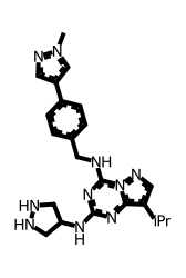 CC(C)c1cnn2c(NCc3ccc(-c4cnn(C)c4)cc3)nc(NC3CNNC3)nc12